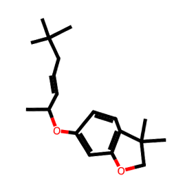 CC(C=CCC(C)(C)C)Oc1ccc2c(c1)OCC2(C)C